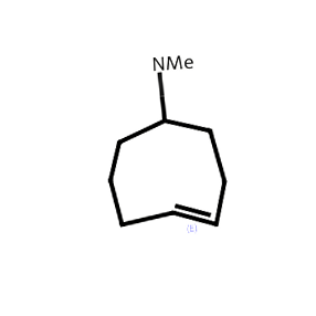 CNC1CC/C=C/CCC1